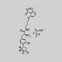 COC(=O)c1c(O)cccc1OCCCCNC(=O)[C@@H](N)Cc1ccc(C2CC(=O)NS2(=O)=O)c(Br)c1.O=C(O)C(F)(F)F